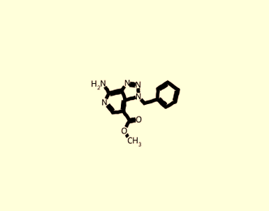 COC(=O)c1cnc(N)c2nnn(Cc3ccccc3)c12